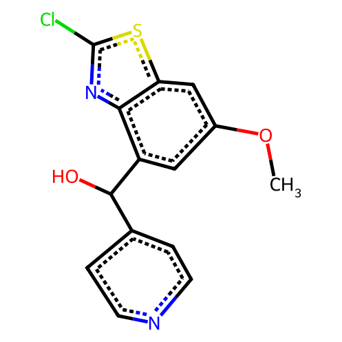 COc1cc(C(O)c2ccncc2)c2nc(Cl)sc2c1